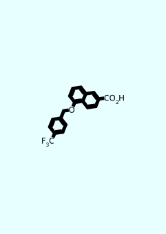 O=C(O)c1ccc2c(OCc3ccc(C(F)(F)F)cc3)cccc2c1